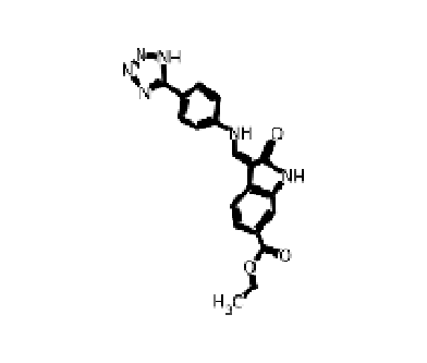 CCOC(=O)c1ccc2c(c1)NC(=O)/C2=C\Nc1ccc(-c2nnn[nH]2)cc1